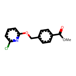 COC(=O)c1ccc(COc2cccc(Cl)n2)cc1